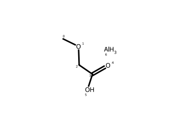 COCC(=O)O.[AlH3]